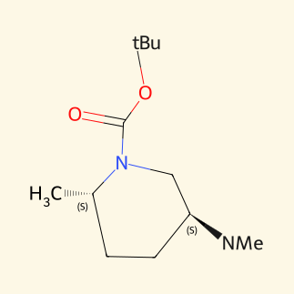 CN[C@H]1CC[C@H](C)N(C(=O)OC(C)(C)C)C1